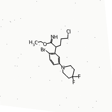 CCOC(=N)C(CCCCl)c1cc(N2CCC(F)(F)CC2)ccc1Br